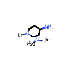 CCCCNCCCC.CCN1CCC(N)CC1